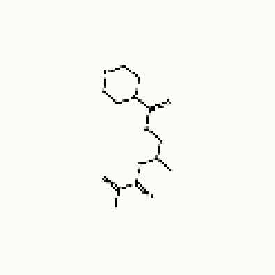 C=C(C)C(=O)OC(C)COC(=O)N1CCOCC1